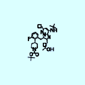 CC(O)OCC1N=C2C(NC(C)(C)C)=CC(Cl)=NN2C1Cc1cccc(F)c1C1CCN(C(=O)OC(C)(C)C)CC1